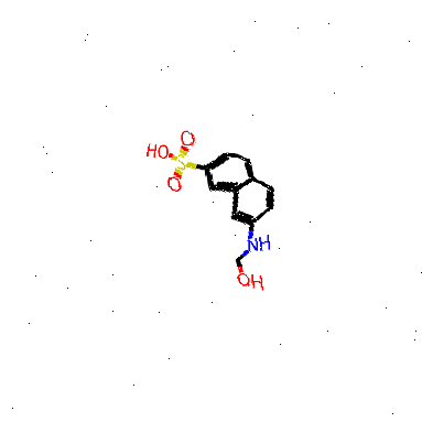 O=S(=O)(O)c1ccc2ccc(NCO)cc2c1